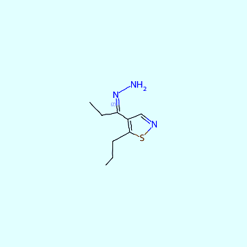 CCCc1sncc1/C(CC)=N\N